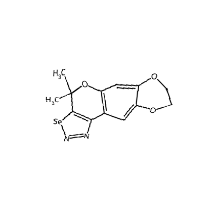 CC1(C)Oc2cc3c(cc2-c2nn[se]c21)OCCO3